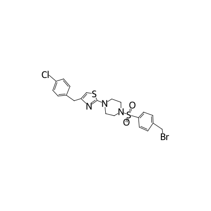 O=S(=O)(c1ccc(CBr)cc1)N1CCN(c2nc(Cc3ccc(Cl)cc3)cs2)CC1